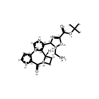 CC(C)(C)OC(=O)C1=NC(c2ncn3c2[C@@H]2CCN2C(=O)c2sccc2-3)N(CN)O1